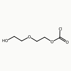 O=C(Cl)OCCOCCO